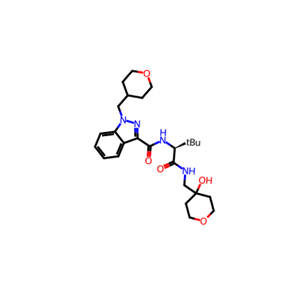 CC(C)(C)[C@H](NC(=O)c1nn(CC2CCOCC2)c2ccccc12)C(=O)NCC1(O)CCOCC1